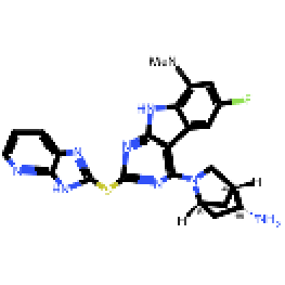 CNc1cc(F)cc2c1[nH]c1nc(Sc3nc4cccnc4[nH]3)nc(N3C[C@H]4C[C@@H]3C[C@H]4N)c12